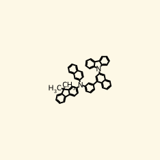 CC1(C)c2ccccc2-c2ccc(N(c3cccc(-c4cc(-n5c6ccccc6c6ccccc65)cc5ccccc45)c3)c3ccc4ccccc4c3)cc21